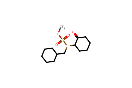 O=C1CCCCC1[S+](CC1CCCCC1)S(=O)(=O)OC(F)(F)F